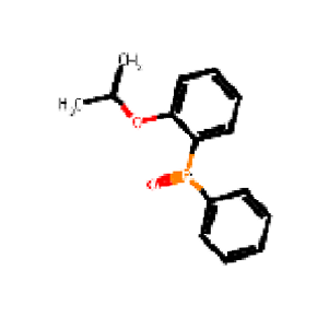 CC(C)Oc1ccccc1[P](=O)c1ccccc1